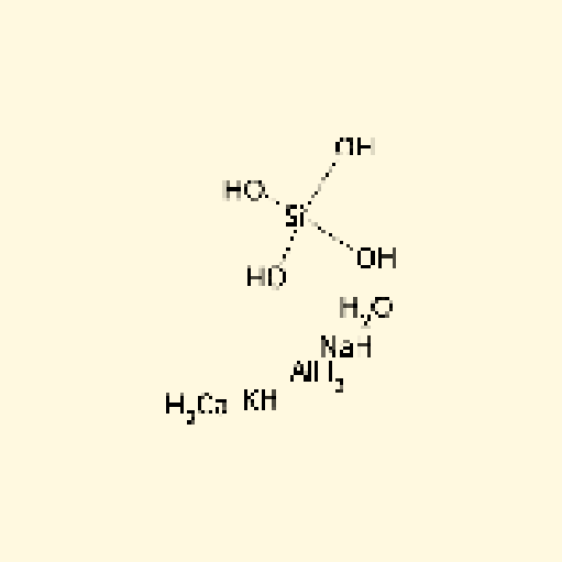 O.O[Si](O)(O)O.[AlH3].[CaH2].[KH].[NaH]